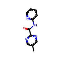 Cc1cnc(C(=O)Nc2ccccn2)nc1